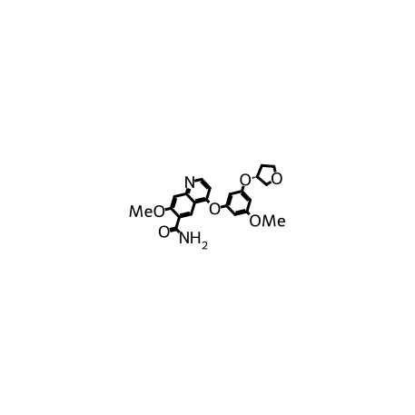 COc1cc(Oc2ccnc3cc(OC)c(C(N)=O)cc23)cc(O[C@@H]2CCOC2)c1